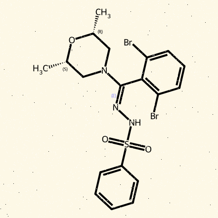 C[C@@H]1CN(/C(=N/NS(=O)(=O)c2ccccc2)c2c(Br)cccc2Br)C[C@H](C)O1